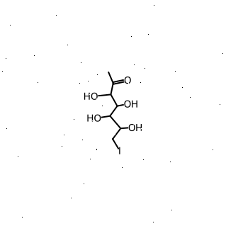 CC(=O)C(O)C(O)C(O)C(O)CI